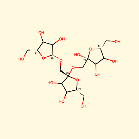 OC[C@H]1O[C@@H](OC[C@@]2(OC[C@@]3(O)O[C@H](CO)C(O)C3O)O[C@H](CO)C(O)C2O)C(O)C1O